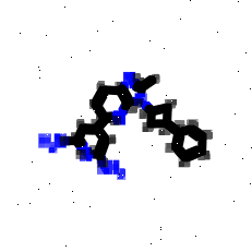 Cc1nc2ccc(-c3cc(N)nc(N)c3)nc2n1C1CC(c2ccccc2)C1